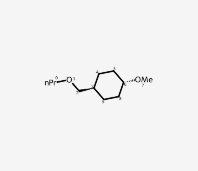 CCCOC[C@H]1CC[C@H](OC)CC1